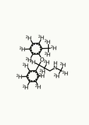 [2H]c1c([2H])c([2H])c(C([2H])(Oc2c([2H])c([2H])c([2H])c([2H])c2C([2H])([2H])[2H])C([2H])([2H])CNC([2H])([2H])[2H])c([2H])c1[2H]